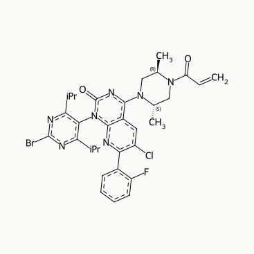 C=CC(=O)N1C[C@H](C)N(c2nc(=O)n(-c3c(C(C)C)nc(Br)nc3C(C)C)c3nc(-c4ccccc4F)c(Cl)cc23)C[C@H]1C